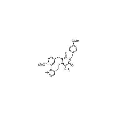 COc1ccc(Cn2c(C=Cc3cnn(C)c3)c([N+](=O)[O-])c(=O)n(Cc3ccc(OC)cc3)c2=O)cc1